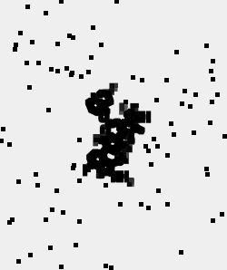 CC(=NO)N1CN=c2c(Cl)c(-c3ccc(F)c4sc(N)c(C#N)c34)c(F)c3c2=C1N(CC(F)F)C=C(OC[C@@]12CCCN1C[C@H](F)C2)O3